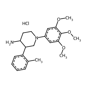 COc1cc(N2CCC(N)C(c3ccccc3C)C2)cc(OC)c1OC.Cl